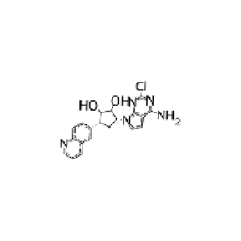 Nc1nc(Cl)nc2c1ccn2[C@@H]1C[C@H](c2ccc3ncccc3c2)[C@@H](O)[C@H]1O